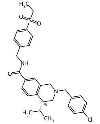 CCS(=O)(=O)c1ccc(CNC(=O)c2ccc3c(c2)CN(Cc2ccc(Cl)cc2)C[C@@H]3C(C)C)cc1